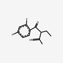 CCC(C(C)=N)C(=O)c1ccc(F)cc1F